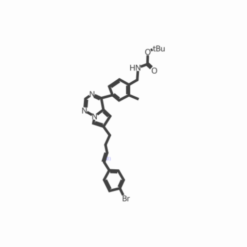 Cc1cc(-c2ncnn3cc(CC/C=C/c4ccc(Br)cc4)cc23)ccc1CNC(=O)OC(C)(C)C